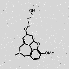 COc1ccc2c3c1OC1CC(OSOOO)C=C(CN(C)C2)C31